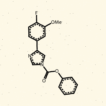 COc1cc(-c2cn(C(=O)Oc3ccccc3)cn2)ccc1F